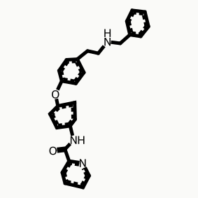 O=C(Nc1ccc(Oc2ccc(CCNCc3ccccc3)cc2)cc1)c1ccccn1